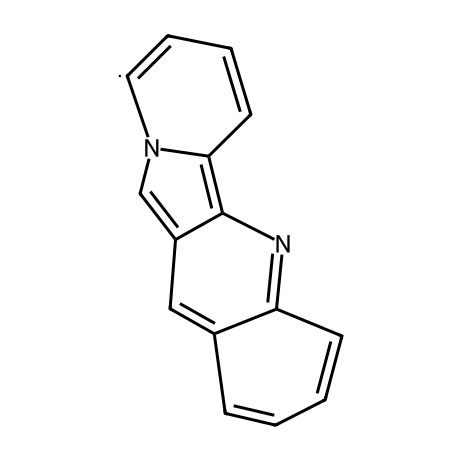 [c]1cccc2c3nc4ccccc4cc3cn12